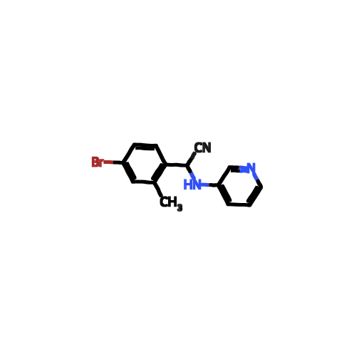 Cc1cc(Br)ccc1C(C#N)Nc1cccnc1